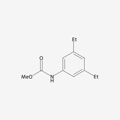 CCc1cc(CC)cc(NC(=O)OC)c1